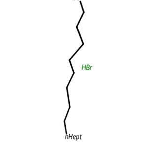 Br.CCCCCCCCCCCCCCCC(C)C